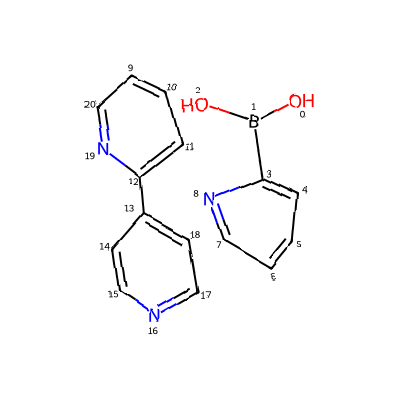 OB(O)c1ccccn1.c1ccc(-c2ccncc2)nc1